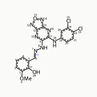 COc1cccc(/C=N/Nc2nc3nonc3nc2Nc2ccc(Cl)c(Cl)c2)c1O